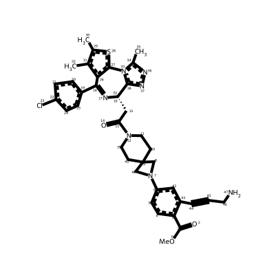 COC(=O)c1ccc(N2CC3(CCN(C(=O)C[C@@H]4N=C(c5ccc(Cl)cc5)c5c(sc(C)c5C)-n5c(C)nnc54)CC3)C2)cc1C#CCN